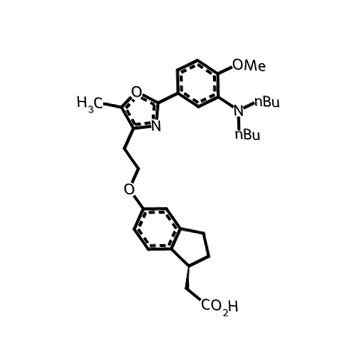 CCCCN(CCCC)c1cc(-c2nc(CCOc3ccc4c(c3)CC[C@H]4CC(=O)O)c(C)o2)ccc1OC